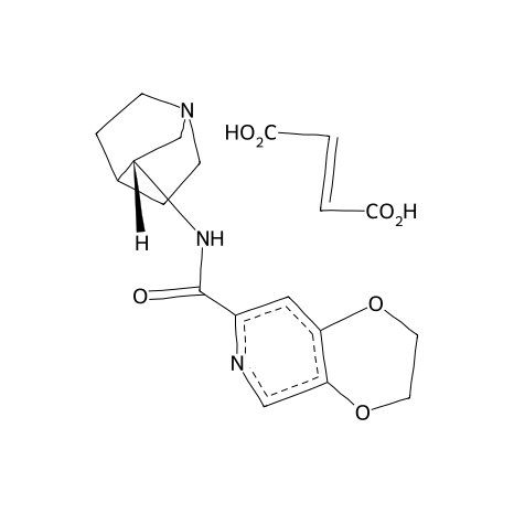 O=C(N[C@H]1CN2CCC1CC2)c1cc2c(cn1)OCCO2.O=C(O)C=CC(=O)O